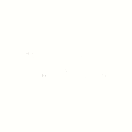 CC(C)(C)OC(=O)NCC(C(=O)O)C(C)(C)C